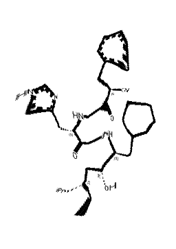 C=C[C@@H](C[C@@H](O)[C@H](CC1CCCCC1)NC(=O)[C@H](Cc1c[nH]cn1)NC(=O)[C@H](C#N)Cc1ccccc1)C(C)C